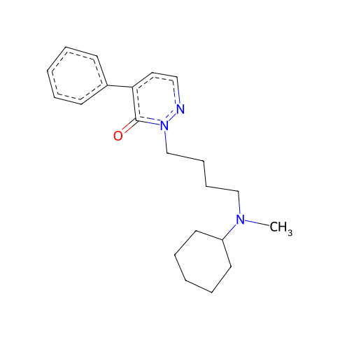 CN(CCCCn1nccc(-c2ccccc2)c1=O)C1CCCCC1